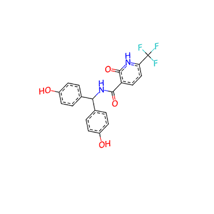 O=C(NC(c1ccc(O)cc1)c1ccc(O)cc1)c1ccc(C(F)(F)F)[nH]c1=O